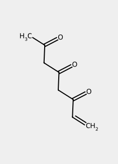 C=CC(=O)CC(=O)CC(C)=O